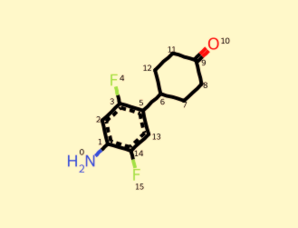 Nc1cc(F)c(C2CCC(=O)CC2)cc1F